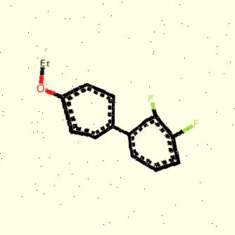 CCOc1ccc(-c2cccc(F)c2F)cc1